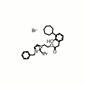 CC(C)c1n(CCOC(=O)Cc2cccc(C3CCCCCC3)c2O)cc[n+]1Cc1ccccc1.[Br-]